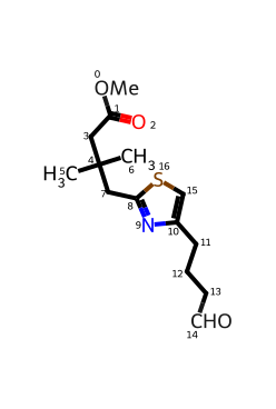 COC(=O)CC(C)(C)Cc1nc(CCCC=O)cs1